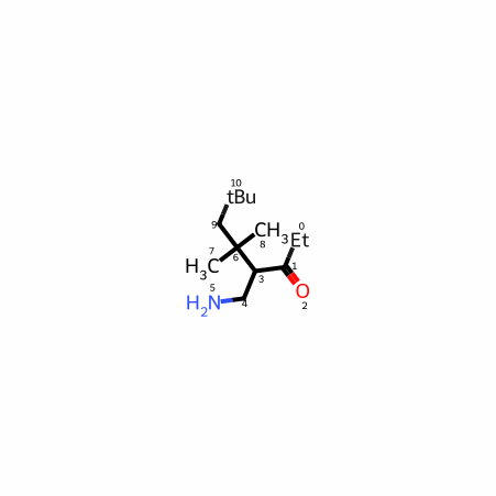 CCC(=O)C(CN)C(C)(C)CC(C)(C)C